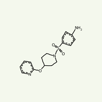 Nc1ccc(S(=O)(=O)N2CCC(Oc3ccccn3)CC2)cc1